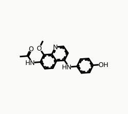 COc1c(NC(C)=O)ccc2c(Nc3ccc(O)cc3)ccnc12